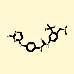 CN(C)Cc1ccc(NC(=O)Nc2ccc(Oc3ccnc(Cl)n3)cc2)cc1C(F)(F)F